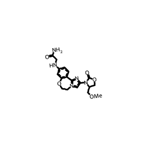 COCC1COC(=O)N1c1cn2c(n1)-c1ccc(NCC(N)=O)cc1OCC2